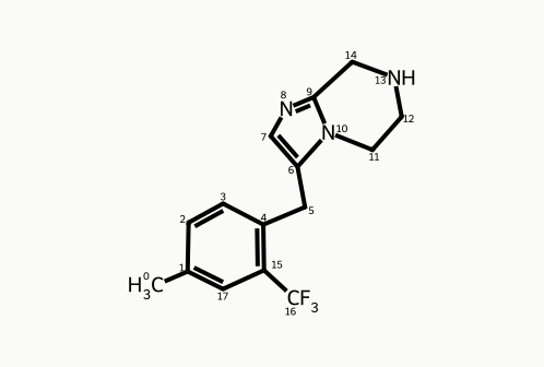 Cc1ccc(Cc2cnc3n2CCNC3)c(C(F)(F)F)c1